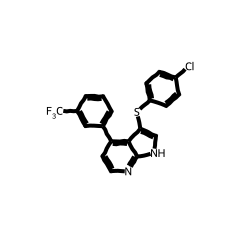 FC(F)(F)c1cccc(-c2ccnc3[nH]cc(Sc4ccc(Cl)cc4)c23)c1